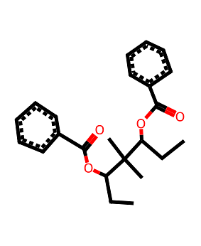 CCC(OC(=O)c1ccccc1)C(C)(C)C(CC)OC(=O)c1ccccc1